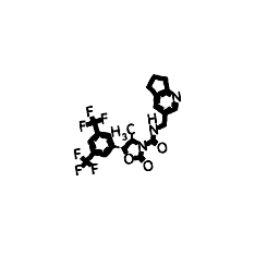 C[C@H]1[C@@H](c2cc(C(F)(F)F)cc(C(F)(F)F)c2)OC(=O)N1C(=O)NCc1cnc2c(c1)CCC2